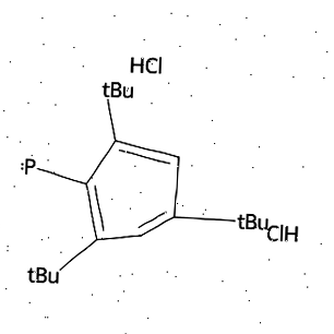 CC(C)(C)c1cc(C(C)(C)C)c([P])c(C(C)(C)C)c1.Cl.Cl